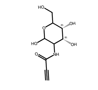 C#CC(=O)NC1C(O)OC(CO)[C@H](O)[C@@H]1O